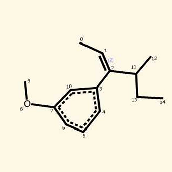 C/C=C(\c1cccc(OC)c1)C(C)CC